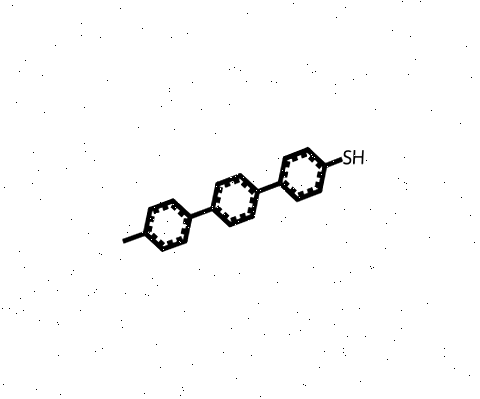 Cc1ccc(-c2ccc(-c3ccc(S)cc3)cc2)cc1